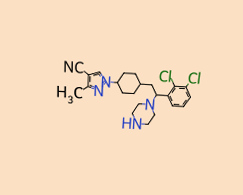 Cc1nn(C2CCC(CC(c3cccc(Cl)c3Cl)N3CCNCC3)CC2)cc1C#N